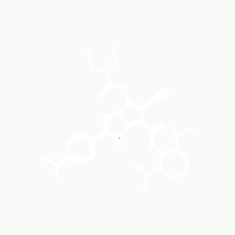 [C-]#[N+]c1c(C(=O)OC2C(C(C)C)CCCC2C(C)C)c2[nH]c(-c3ccc(C(C)C)cc3)nn2c1OC(=O)N(CC)CC